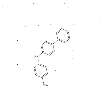 CC(C)(C)c1ccc(Nc2ccc(-c3ccccc3)cc2)cc1